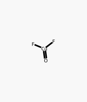 [O]=[Cu]([F])[F]